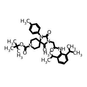 Cc1ccc(N2C(=O)N(CC(=O)Nc3c(C(C)C)cccc3C(C)C)C(=O)C23CCN(C(=O)OC(C)(C)C)CC3)cc1